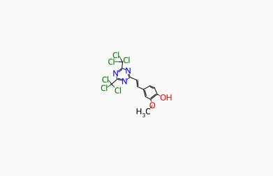 COc1cc(C=Cc2nc(C(Cl)(Cl)Cl)nc(C(Cl)(Cl)Cl)n2)ccc1O